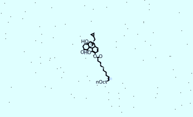 CCCCCCCC/C=C\CCCCCCCC(=O)OC1=C2O[C@H]3C(=O)CC[C@@]4(O)C5CC(C=C1)C2[C@@]34CCN5CC1CC1